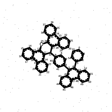 c1ccc(-c2c(-c3ccc(C4c5c(c6ccccc6c6ccccc56)Oc5c4c4ccccc4c4ccccc54)cc3)c3ccccc3c3ccccc23)cc1